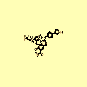 CN(C)C(=O)c1cc2cnc(Nc3ccc(C4CCNC4)cc3)nc2n(Cc2nn(C)cc2S(=O)(=O)CC(F)(F)F)c1=O